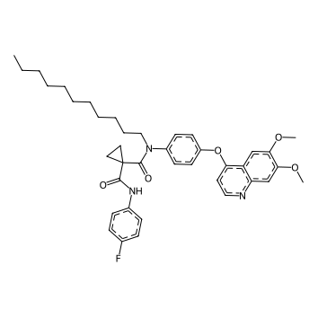 CCCCCCCCCCCN(C(=O)C1(C(=O)Nc2ccc(F)cc2)CC1)c1ccc(Oc2ccnc3cc(OC)c(OC)cc23)cc1